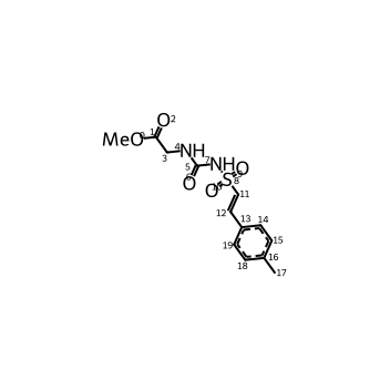 COC(=O)CNC(=O)NS(=O)(=O)C=Cc1ccc(C)cc1